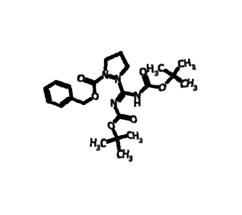 CC(C)(C)OC(=O)N=C(NC(=O)OC(C)(C)C)N1CCCN1C(=O)OCc1ccccc1